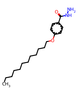 CCCCCCCCCCCCOc1ccc(C(=O)NN)cc1